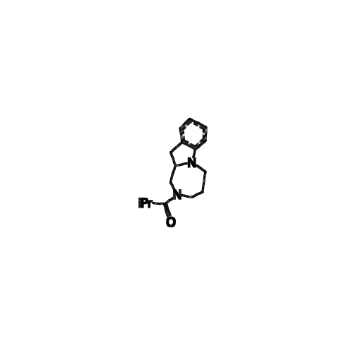 CC(C)C(=O)N1CCCN2c3ccccc3CC2C1